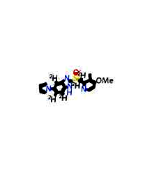 [2H]c1c(-n2cccc2)c([2H])c2nc([S+]([O-])C([2H])([2H])c3nccc(OC)c3C)[nH]c2c1[2H]